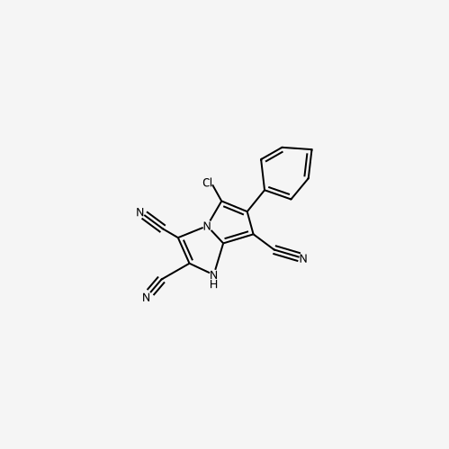 N#Cc1[nH]c2c(C#N)c(-c3ccccc3)c(Cl)n2c1C#N